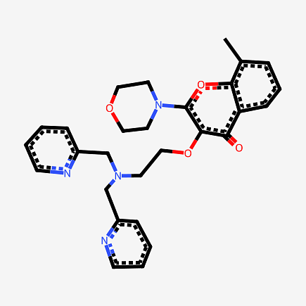 Cc1cccc2c(=O)c(OCCN(Cc3ccccn3)Cc3ccccn3)c(N3CCOCC3)oc12